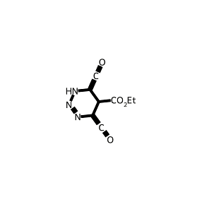 CCOC(=O)C1C(=C=O)N=NNC1=C=O